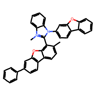 Cc1ccc2c(oc3cc(-c4ccccc4)ccc32)c1-c1n(-c2ccc3c(c2)oc2ccccc23)c2ccccc2[n+]1C